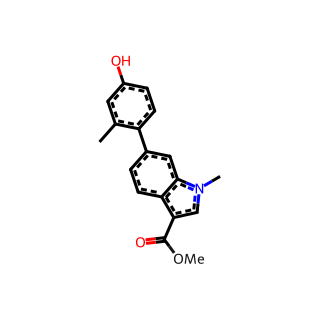 COC(=O)c1cn(C)c2cc(-c3ccc(O)cc3C)ccc12